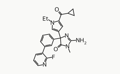 CCn1cc(C2(c3cccc(-c4cccnc4F)c3)N=C(N)N(C)C2=O)cc1C(=O)C1CC1